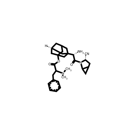 CN(C)C(Cc1ccccc1)C(=O)OC12CC3C[C@H](C1)CC([C@H](N)C(=O)N1C4CC4C[C@H]1C#N)(C3)C2